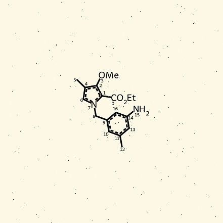 CCOC(=O)c1c(OC)c(C)cn1Cc1cc(C)cc(N)c1